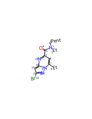 CCCC(C)N(CC)C(=O)c1cc(CC)n2nc(Br)cc2n1